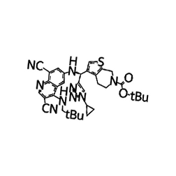 CC(C)(C)CNc1c(C#N)cnc2c(C#N)cc(N[C@H](c3cn(C4CC4)nn3)c3csc4c3CCN(C(=O)OC(C)(C)C)C4)cc12